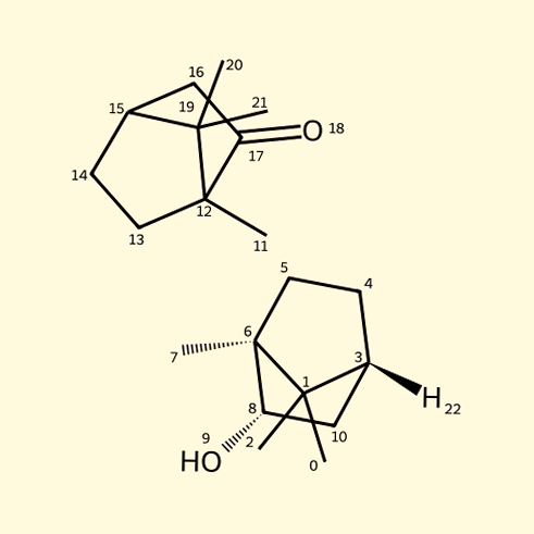 CC1(C)[C@@H]2CC[C@]1(C)[C@@H](O)C2.CC12CCC(CC1=O)C2(C)C